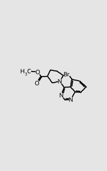 COC(=O)C1CCCN(c2ncnc3cccc(Br)c23)C1